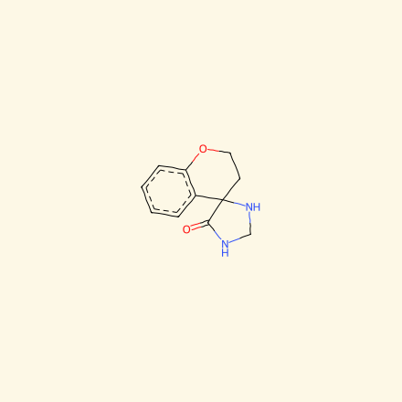 O=C1NCNC12CCOc1ccccc12